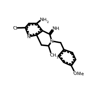 COc1ccc(CN2C(=N)c3c(N)cc(Cl)nc3CC2C)cc1